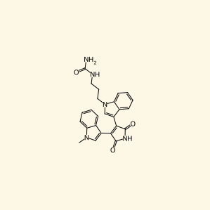 Cn1cc(C2=C(c3cn(CCCNC(N)=O)c4ccccc34)C(=O)NC2=O)c2ccccc21